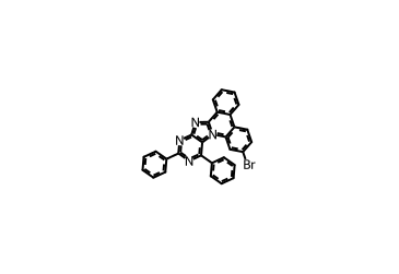 Brc1ccc2c3ccccc3c3nc4nc(-c5ccccc5)nc(-c5ccccc5)c4n3c2c1